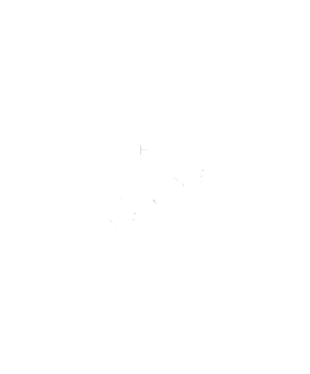 Cc1ccccc1C1CCc2ccccc2C1=O